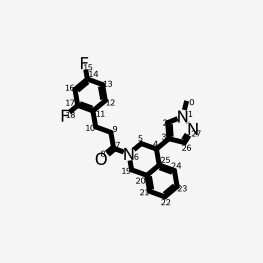 Cn1cc(C2CN(C(=O)CCc3ccc(F)cc3F)Cc3ccccc32)cn1